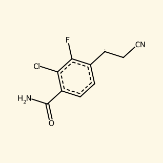 N#CC[CH]c1ccc(C(N)=O)c(Cl)c1F